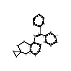 c1ccc(C(=Nc2cccc3c2CCC2(CC2)C3)c2ccccc2)cc1